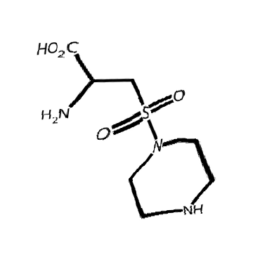 NC(CS(=O)(=O)N1CCNCC1)C(=O)O